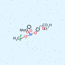 CCOC(Cc1ccc(OCCN(CCOCCC(C)(F)F)C(=O)Oc2ccccc2OC)cc1)C(=O)O